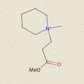 COC(=O)CC[N+]1(C)CCCCC1